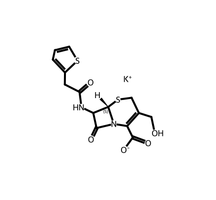 O=C(Cc1cccs1)NC1C(=O)N2C(C(=O)[O-])=C(CO)CS[C@@H]12.[K+]